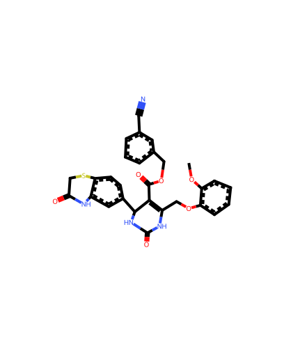 COc1ccccc1OCC1=C(C(=O)OCc2cccc(C#N)c2)C(c2ccc3c(c2)NC(=O)CS3)NC(=O)N1